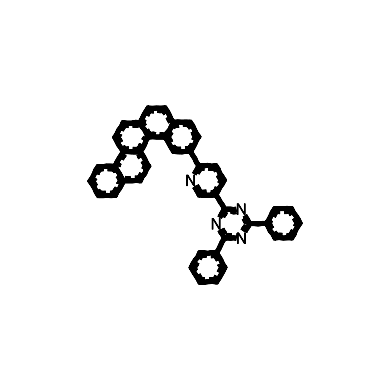 c1ccc(-c2nc(-c3ccccc3)nc(-c3ccc(-c4ccc5ccc6ccc7c8ccccc8ccc7c6c5c4)nc3)n2)cc1